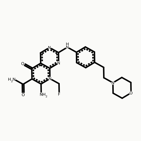 NC(=O)c1c(N)n(CF)c2nc(Nc3ccc(CCN4CCOCC4)cc3)ncc2c1=O